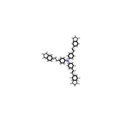 C(=C\c1ccc2c(c1)CCC2)/c1ccc(N(c2ccc(/C=C/c3ccc4c(c3)CCC4)cc2)c2ccc(CCc3ccc4c(c3)CCC4)cc2)cc1